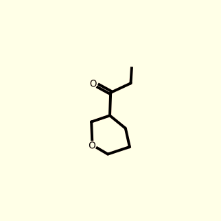 CCC(=O)C1CCCOC1